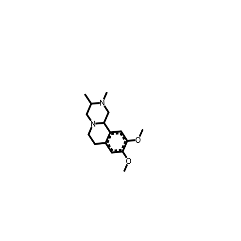 COc1cc2c(cc1OC)C1CN(C)C(C)CN1CC2